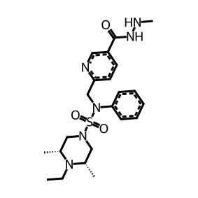 CCN1[C@H](C)CN(S(=O)(=O)N(Cc2ccc(C(=O)NNC)cn2)c2ccccc2)C[C@@H]1C